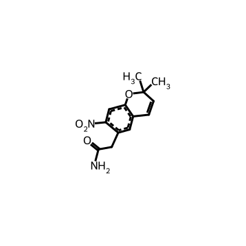 CC1(C)C=Cc2cc(CC(N)=O)c([N+](=O)[O-])cc2O1